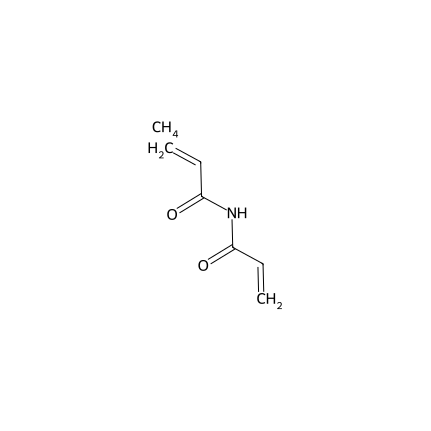 C.C=CC(=O)NC(=O)C=C